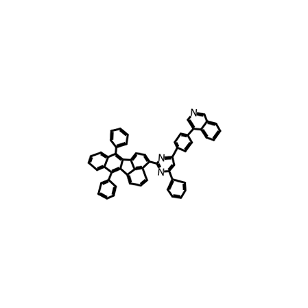 c1ccc(-c2cc(-c3ccc(-c4cncc5ccccc45)cc3)nc(-c3ccc4c5c(cccc35)-c3c-4c(-c4ccccc4)c4ccccc4c3-c3ccccc3)n2)cc1